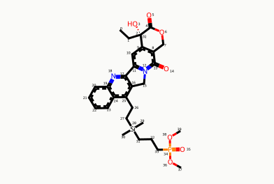 CC[C@@]1(O)C(=O)OCc2c1cc1n(c2=O)Cc2c-1nc1ccccc1c2CC[Si](C)(C)CCCP(=O)(OC)OC